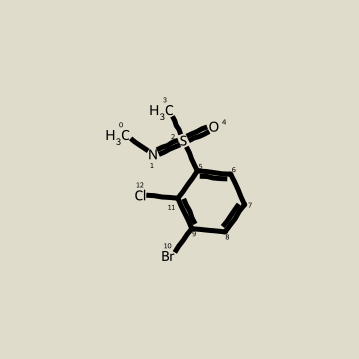 CN=S(C)(=O)c1cccc(Br)c1Cl